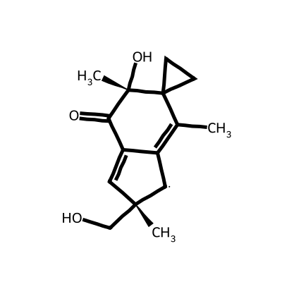 CC1=C2[CH][C@](C)(CO)C=C2C(=O)[C@](C)(O)C12CC2